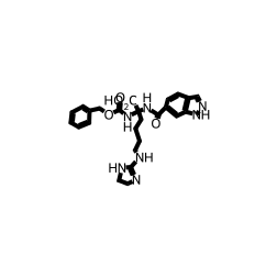 O=C(NC(CCCCNC1=NCCN1)(NC(=O)c1ccc2cn[nH]c2c1)C(=O)O)OCc1ccccc1